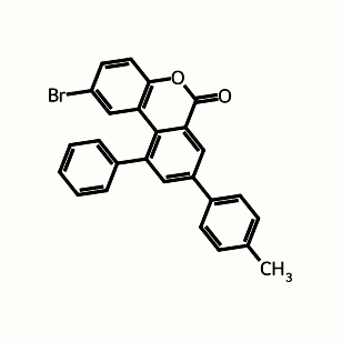 Cc1ccc(-c2cc(-c3ccccc3)c3c(c2)c(=O)oc2ccc(Br)cc23)cc1